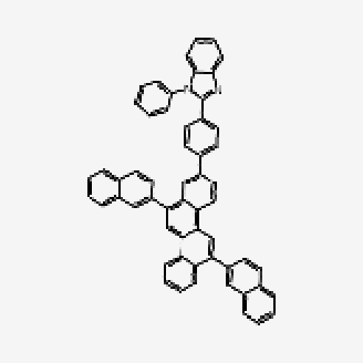 c1ccc(-n2c(-c3ccc(-c4ccc5c(c4)c(-c4ccc6ccccc6c4)cc4c6ccccc6c(-c6ccc7ccccc7c6)cc54)cc3)nc3ccccc32)cc1